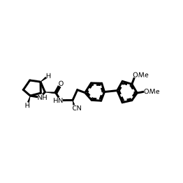 COc1ccc(-c2ccc(C[C@@H](C#N)NC(=O)[C@H]3N[C@@H]4CC[C@H]3C4)cc2)cc1OC